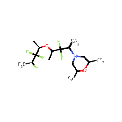 CC(O[C@H](C)C(F)(F)[C@@H](F)C(F)(F)F)C(F)(F)C(N1CC(C(F)(F)F)OC(C(F)(F)F)C1)C(F)(F)F